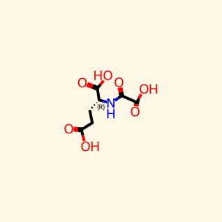 O=C(O)CC[C@@H](NC(=O)C(=O)O)C(=O)O